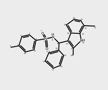 Cc1ccc(S(=O)(=O)NC(c2ccccc2)c2c(C)[nH]c3c(C)cccc23)cc1